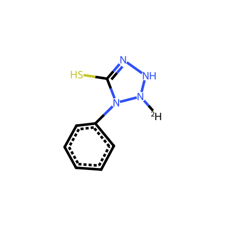 [2H]N1NN=C(S)N1c1ccccc1